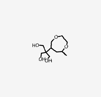 CC1CC(C(CO)(CO)CO)COCCO1